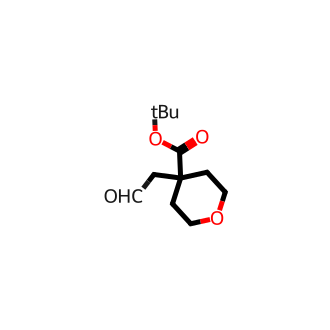 CC(C)(C)OC(=O)C1(CC=O)CCOCC1